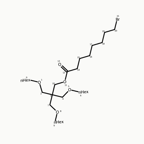 CCCCCCOCC(COCCCCCC)(COCCCCCC)COC(=O)CCCCCCCBr